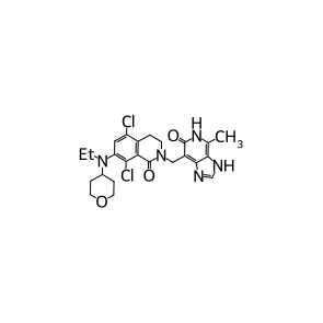 CCN(c1cc(Cl)c2c(c1Cl)C(=O)N(Cc1c(=O)[nH]c(C)c3[nH]cnc13)CC2)C1CCOCC1